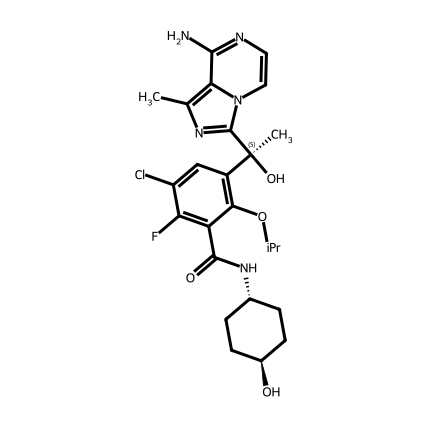 Cc1nc([C@@](C)(O)c2cc(Cl)c(F)c(C(=O)N[C@H]3CC[C@H](O)CC3)c2OC(C)C)n2ccnc(N)c12